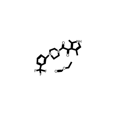 CCOC=O.Cc1c[nH]c(C)c1C(=O)C(=O)N1CCN(c2cccc(C(F)(F)F)c2)CC1